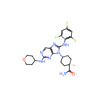 C[C@]1(C(N)=O)CC[C@@H](n2c(Nc3c(F)cc(F)cc3F)nc3cnc(NC4CCOCC4)nc32)CC1